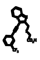 O=C(O)CSCc1nc2ccccn2c1C#Cc1cccc(C(F)(F)F)c1